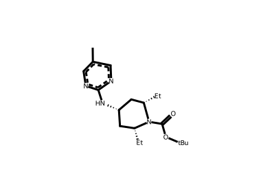 CC[C@@H]1C[C@H](Nc2ncc(C)cn2)C[C@H](CC)N1C(=O)OC(C)(C)C